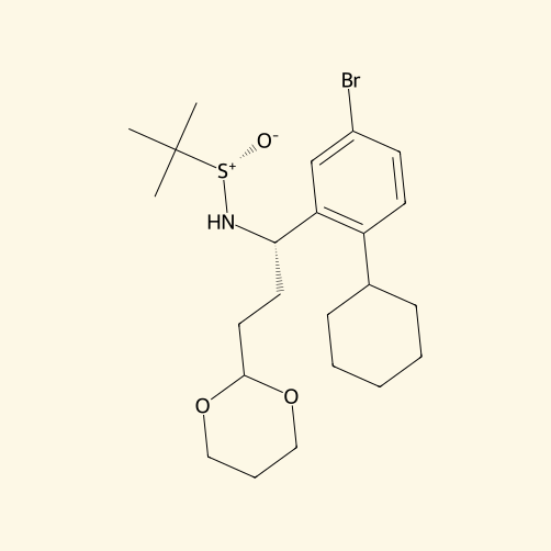 CC(C)(C)[S@+]([O-])N[C@@H](CCC1OCCCO1)c1cc(Br)ccc1C1CCCCC1